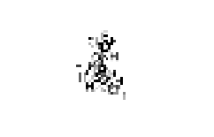 Cc1c(S(=O)(=O)N[C@H](C)C(F)(F)F)cc(C(=O)Nc2cc(F)c(F)c(Cl)c2)n1C